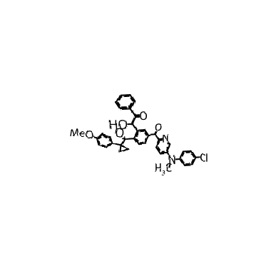 COc1ccc(C2(C(=O)c3ccc(C(=O)c4ccc(N(C)c5ccc(Cl)cc5)cn4)cc3C(O)C(=O)c3ccccc3)CC2)cc1